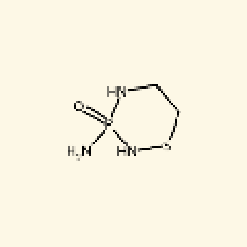 NP1(=O)NCCSN1